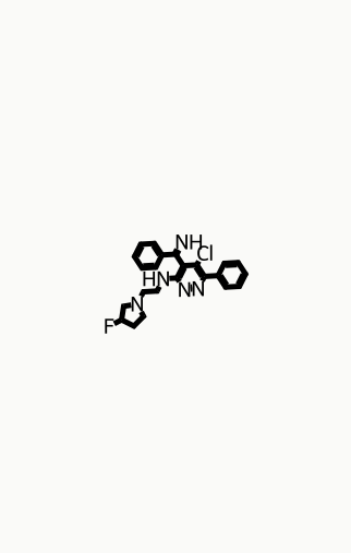 N=C(c1ccccc1)c1c(NCCN2CCC(F)C2)nnc(-c2ccccc2)c1Cl